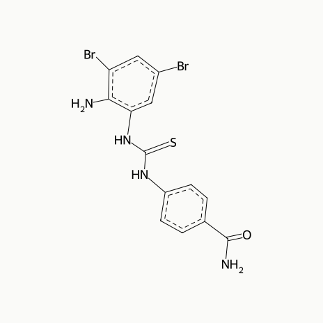 NC(=O)c1ccc(NC(=S)Nc2cc(Br)cc(Br)c2N)cc1